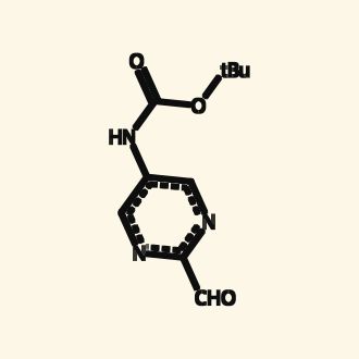 CC(C)(C)OC(=O)Nc1cnc(C=O)nc1